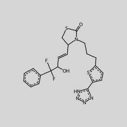 O=C1SCC(C=CC(O)C(F)(F)c2ccccc2)N1CCCc1ccc(-c2nnn[nH]2)s1